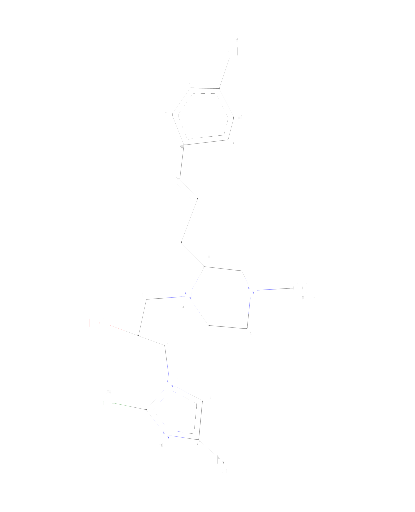 C[C@](O)(CN1CCN(C(=O)O)CC1CC=Cc1ccc(C(F)(F)F)cc1)Cn1cc([N+](=O)[O-])nc1Cl